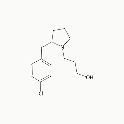 OCCCN1CCCC1Cc1ccc(Cl)cc1